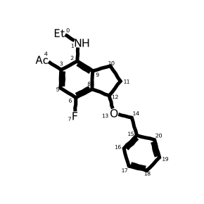 CCNc1c(C(C)=O)cc(F)c2c1CCC2OCc1ccccc1